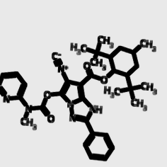 [C-]#[N+]c1c(C(=O)OC2C(C(C)(C)C)CC(C)CC2C(C)(C)C)c2[nH]c(-c3ccccc3)nn2c1OC(=O)N(C)c1ccccn1